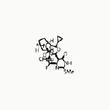 CSc1nc2c(F)c(Cl)nc(O[C@@H](C3CC3)[C@H]3NC[C@H]4CC[C@@H]3N4C(=O)OC(C)(C)C)c2c(=O)[nH]1